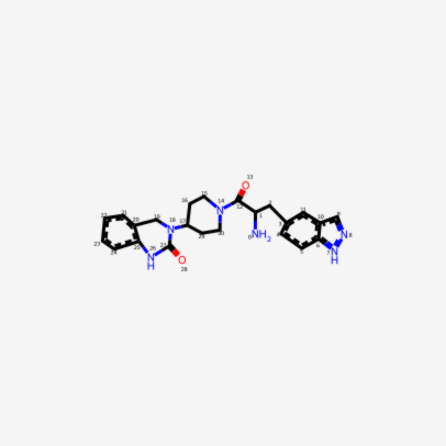 NC(Cc1ccc2[nH]ncc2c1)C(=O)N1CCC(N2Cc3ccccc3NC2=O)CC1